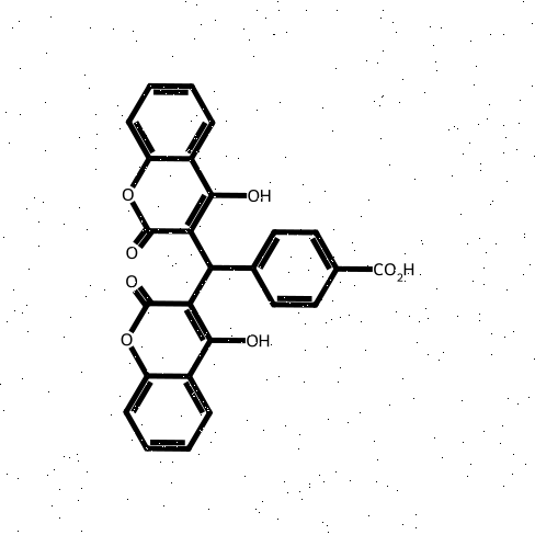 O=C(O)c1ccc(C(c2c(O)c3ccccc3oc2=O)c2c(O)c3ccccc3oc2=O)cc1